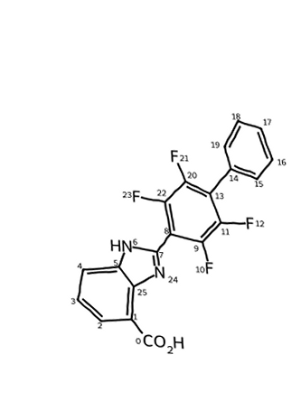 O=C(O)c1cccc2[nH]c(-c3c(F)c(F)c(-c4ccccc4)c(F)c3F)nc12